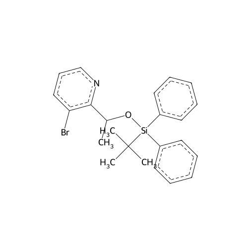 CC(O[Si](c1ccccc1)(c1ccccc1)C(C)(C)C)c1ncccc1Br